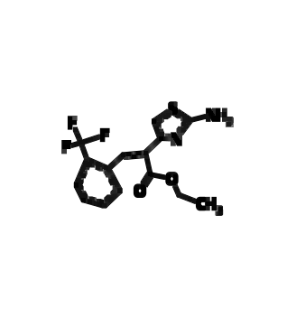 CCOC(=O)C(=Cc1ccccc1C(F)(F)F)c1csc(N)n1